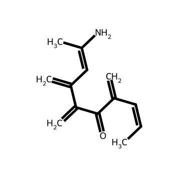 C=C(/C=C\C)C(=O)C(=C)C(=C)/C=C(\C)N